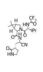 CC(C)[C@H](NC(=O)C(F)(F)F)C(=O)N1C[C@H]2[C@@H](C1C(=O)N[C@@H](C#N)C[C@@H]1CCNC1=O)C2(C)C